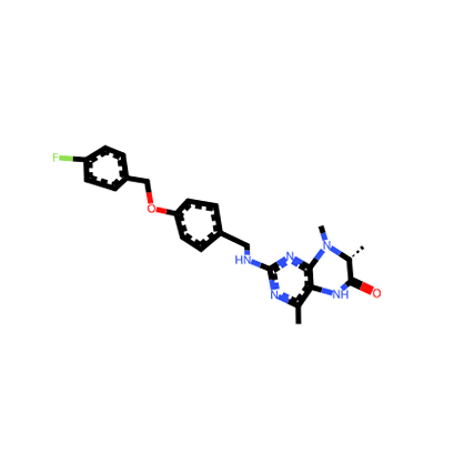 Cc1nc(NCc2ccc(OCc3ccc(F)cc3)cc2)nc2c1NC(=O)[C@@H](C)N2C